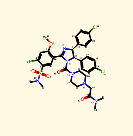 CCOc1cc(F)c(S(=O)(=O)N(C)C)cc1C1=N[C@@H](c2ccc(Cl)cc2)[C@@H](c2ccc(Cl)cc2)N1C(=O)N1CCN(CC(=O)N(C)C)CC1